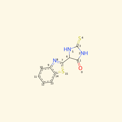 O=C1NC(=S)NC1c1nc2ccccc2s1